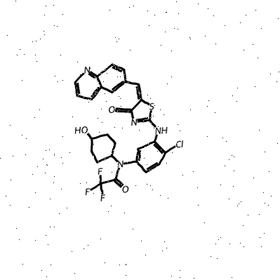 O=C1N=C(Nc2cc(N(C(=O)C(F)(F)F)C3CCC(O)CC3)ccc2Cl)SC1=Cc1ccc2ncccc2c1